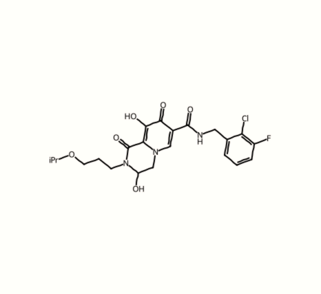 CC(C)OCCCN1C(=O)c2c(O)c(=O)c(C(=O)NCc3cccc(F)c3Cl)cn2CC1O